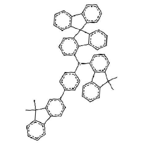 CC1(C)c2ccccc2-c2ccc(-c3ccc(N(c4cccc5c4-c4ccccc4C5(C)C)c4cccc5c4-c4ccccc4C54c5ccccc5-c5ccccc54)cc3)cc21